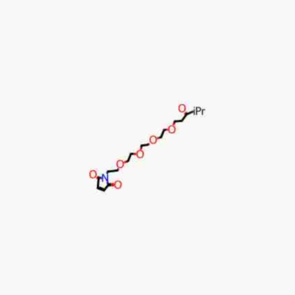 CC(C)C(=O)CCOCCOCCOCCOCCN1C(=O)C=CC1=O